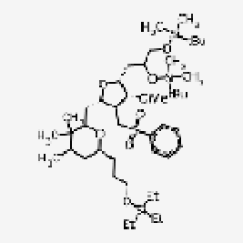 CC[Si](CC)(CC)OCCC[C@H]1C[C@@H](C)C(C)(C)C(C[C@@H]2O[C@H](CC(CO[Si](C)(C)C(C)(C)C)O[Si](C)(C)C(C)(C)C)[C@H](OC)C2CS(=O)(=O)c2ccccc2)O1